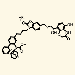 F.F.O=C1COc2c([C@H](O)CNCc3ccc4c(c3)oc(=O)n4CCCCc3ccc(-c4ccccc4)c(N(C(=O)O)[C@H]4CN5CCC4CC5)c3)ccc(O)c2N1